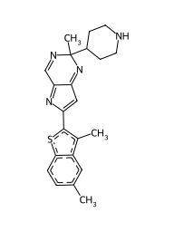 Cc1ccc2sc(C3=CC4=NC(C)(C5CCNCC5)N=CC4=N3)c(C)c2c1